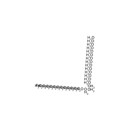 O.O.O.O.O.O.O.O.O.O.O.O.O.O.O.O.O.O.O.O.O.O.O.O.O.O.O.O.O.O.[Fe]